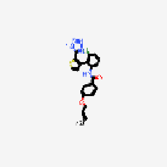 CCCC/C=C/COc1ccc(C(=O)Nc2cccc(Cl)c2-c2ccsc2-c2nnn[nH]2)cc1